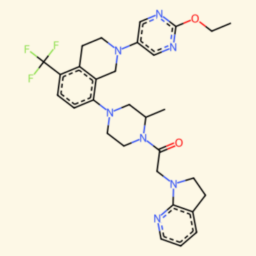 CCOc1ncc(N2CCc3c(C(F)(F)F)ccc(N4CCN(C(=O)CN5CCc6cccnc65)C(C)C4)c3C2)cn1